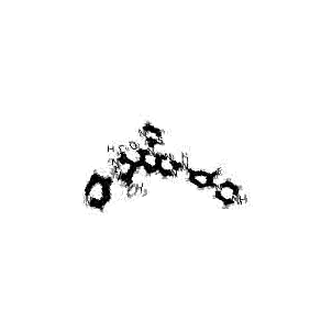 Cc1nn(-c2ccncc2)c(C)c1-c1cc2cnc(Nc3ccc(N4CCNCC4)c(F)c3)nc2n(-c2nccs2)c1=O